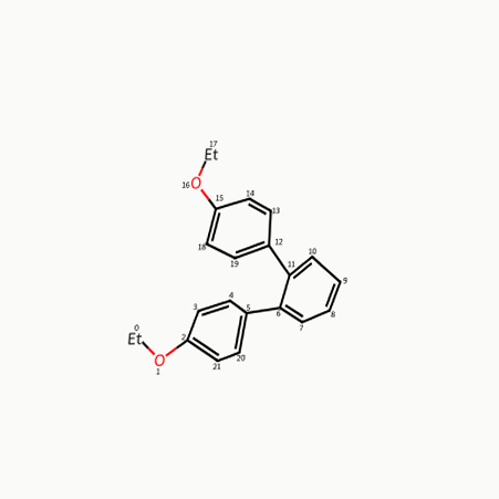 CCOc1ccc(-c2ccccc2-c2ccc(OCC)cc2)cc1